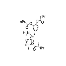 CCCC(=O)Oc1ccc(C[C@H](N)C(=O)O[C@@H](C)C(C)OC(=O)C(C)C(C)C)cc1OC(=O)CCC